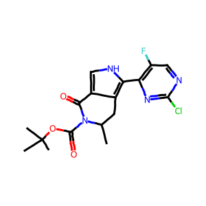 CC1Cc2c(c[nH]c2-c2nc(Cl)ncc2F)C(=O)N1C(=O)OC(C)(C)C